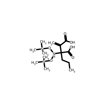 C=C(C(=O)O)C(CCC)(C(=O)O)[SiH](O[Si](C)(C)C)O[Si](C)(C)C